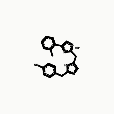 Br.Cc1ccccc1-c1csc(Cc2cnc(Cc3ccc(C#N)cc3)[nH]2)n1